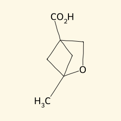 CC12CC(C(=O)O)(CO1)C2